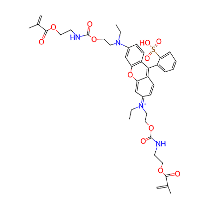 C=C(C)C(=O)OCCNC(=O)OCCN(CC)c1ccc2c(-c3ccccc3S(=O)(=O)O)c3cc/c(=[N+](/CC)CCOC(=O)NCCOC(=O)C(=C)C)cc-3oc2c1